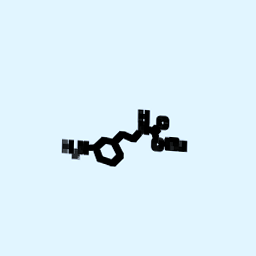 CC(C)(C)OC(=O)NCCC1CCCC(N)C1